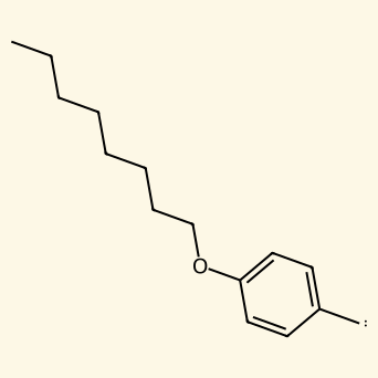 [CH]c1ccc(OCCCCCCCC)cc1